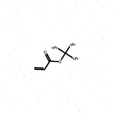 C=CC(=O)OC(CCC)(CCC)CCC